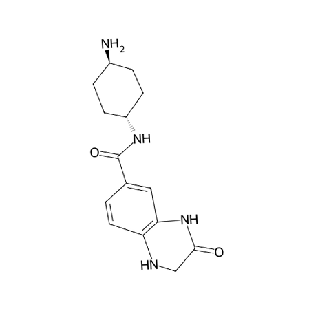 N[C@H]1CC[C@H](NC(=O)c2ccc3c(c2)NC(=O)CN3)CC1